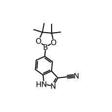 CC1(C)OB(c2ccc3[nH]nc(C#N)c3c2)OC1(C)C